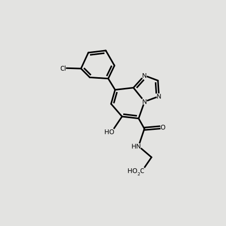 O=C(O)CNC(=O)c1c(O)cc(-c2cccc(Cl)c2)c2ncnn12